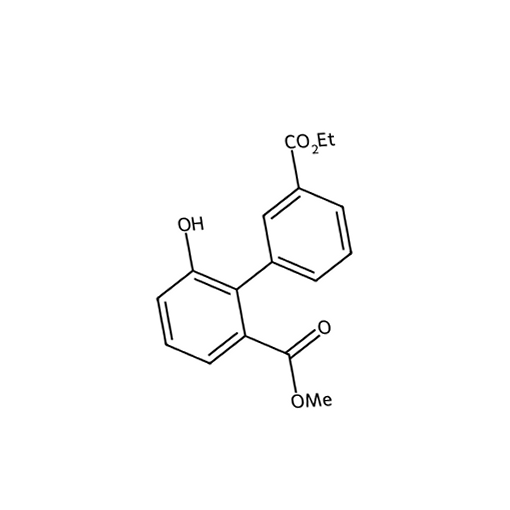 CCOC(=O)c1cccc(-c2c(O)cccc2C(=O)OC)c1